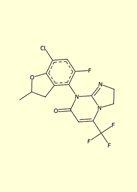 CC1Cc2c(c(Cl)cc(F)c2N2C(=O)C=C(C(F)(F)F)N3CCN=C32)O1